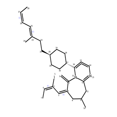 C=C1/C(=C\C(I)=C/C)CC(C)CC2=NC=C=C([C@H]3CC[C@H](CC/C(C)=C/C=C\C)CC3)N12